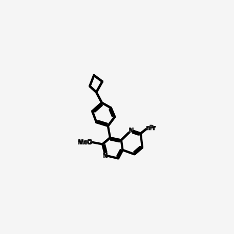 CCCc1ccc2cnc(OC)c(-c3ccc(C4CCC4)cc3)c2n1